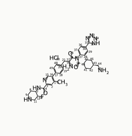 Cc1cc(C(=O)NC2CCNCC2F)ncc1-c1ccc(C[C@H](N)C(=O)N(c2ccc(-c3nnn[nH]3)cc2)C(=O)[C@H]2CC[C@H](CN)CC2)cc1.Cl